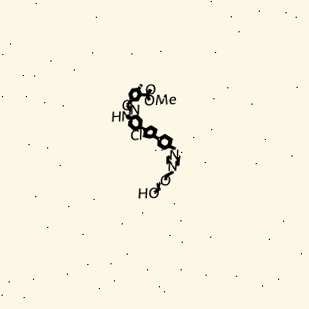 COC(=O)c1cc(Oc2nc3cc(-c4ccc(-c5ccc(CN6CCN(CCOCCO)CC6)cc5)cc4)c(Cl)cc3[nH]2)ccc1C